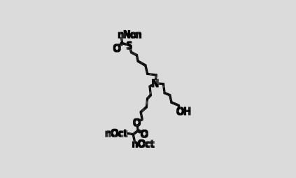 CCCCCCCCCC(=O)SCCCCCCN(CCCCCO)CCCCCCOC(=O)C(CCCCCCCC)CCCCCCCC